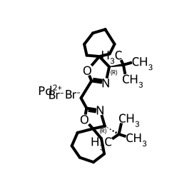 CC(C)(C)[C@H]1N=C(CC2=N[C@H](C(C)(C)C)C3(CCCCCC3)O2)OC12CCCCCC2.[Br-].[Br-].[Pd+2]